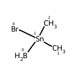 [BH2][Sn]([CH3])([CH3])[Br]